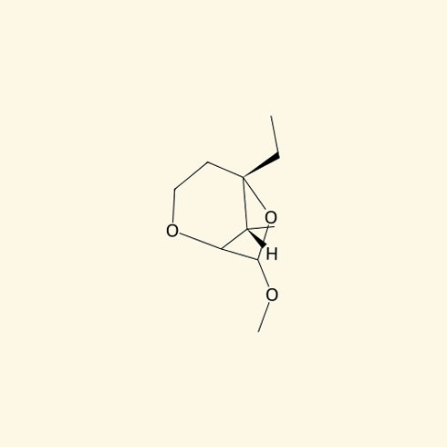 CC[C@@]12CCOC(C(OC)O1)[C@H]2C